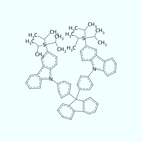 CC(C)[Si](c1ccc2c(c1)c1ccccc1n2-c1ccc(C2(c3ccc(-n4c5ccccc5c5cc([Si](C(C)C)(C(C)C)C(C)C)ccc54)cc3)c3ccccc3-c3ccccc32)cc1)(C(C)C)C(C)C